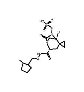 CN1CCCC1CONC(=O)[C@@H]1CC2(CC2)[C@@H]2CN1C(=O)N2OS(=O)(=O)O